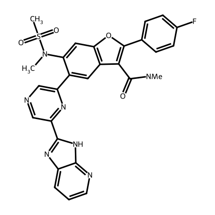 CNC(=O)c1c(-c2ccc(F)cc2)oc2cc(N(C)S(C)(=O)=O)c(-c3cncc(-c4nc5cccnc5[nH]4)n3)cc12